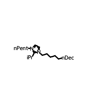 CCCCCCCCCCCCCCCn1cc[n+](CCCCC)c1C(C)C